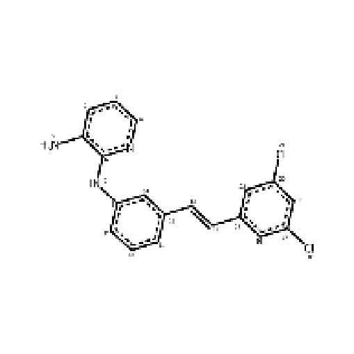 Nc1cccnc1Nc1cccc(/C=C/c2cc(Cl)cc(Cl)c2)c1